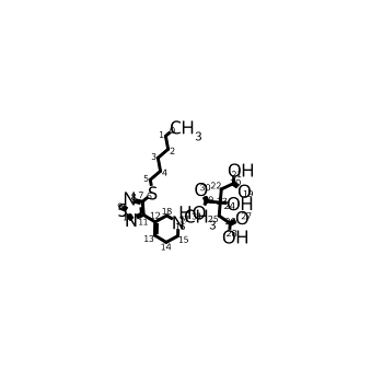 CCCCCCSc1nsnc1C1=CCCN(C)C1.O=C(O)CC(O)(CC(=O)O)C(=O)O